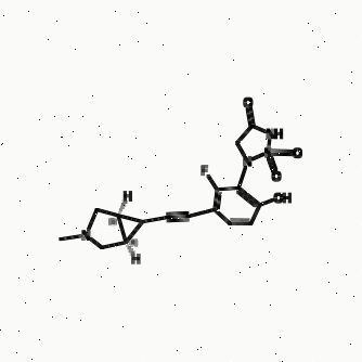 CN1C[C@@H]2C(C#Cc3ccc(O)c(N4CC(=O)NS4(=O)=O)c3F)[C@@H]2C1